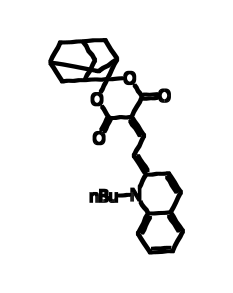 CCCCN1/C(=C/C=C2C(=O)OC3(OC2=O)C2CC4CC(C2)CC3C4)C=Cc2ccccc21